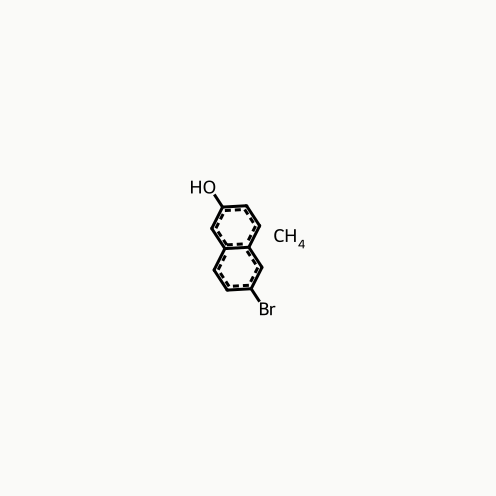 C.Oc1ccc2cc(Br)ccc2c1